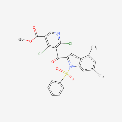 Cc1cc(C(F)(F)F)cc2c1cc(C(=O)c1c(Cl)ncc(C(=O)OC(C)(C)C)c1Cl)n2S(=O)(=O)c1ccccc1